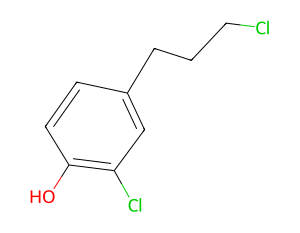 Oc1ccc(CCCCl)cc1Cl